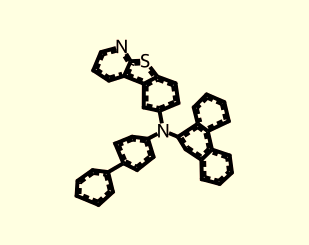 c1ccc(-c2ccc(N(c3ccc4sc5ncccc5c4c3)c3cc4ccccc4c4ccccc34)cc2)cc1